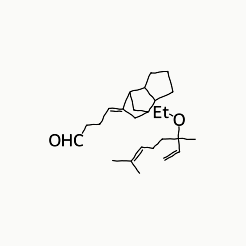 C=CC(C)(CCC=C(C)C)OCC.O=CCC/C=C1\CC2CC1C1CCCC21